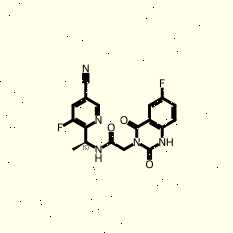 C[C@H](NC(=O)Cn1c(=O)[nH]c2ccc(F)cc2c1=O)c1ncc(C#N)cc1F